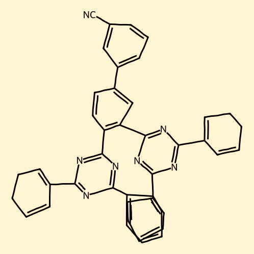 N#Cc1cccc(-c2ccc(-c3nc(C4=CCCC=C4)nc(-c4ccccc4)n3)c(-c3nc(C4=CCCC=C4)nc(-c4ccccc4)n3)c2)c1